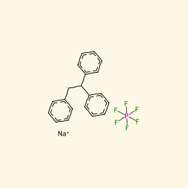 F[P-](F)(F)(F)(F)F.[CH](c1ccccc1)C(c1ccccc1)c1ccccc1.[Na+]